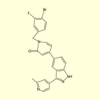 Cc1cc(-c2n[nH]c3ccc(-c4ccn(Cc5ccc(Br)c(F)c5)c(=O)c4)cc23)ccn1